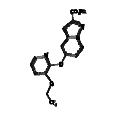 CCOC(=O)c1cc2cc(Oc3ncccc3OCC(F)(F)F)ccn2n1